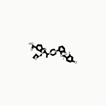 CC(c1nc2ccc(C(=O)O)cc2n1C[C@@H]1CCO1)N1CCN(c2cccc3c2O[C@](C)(c2ccc(Cl)cc2F)O3)CC1